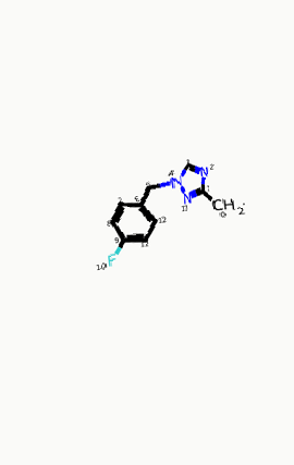 [CH2]c1ncn(Cc2ccc(F)cc2)n1